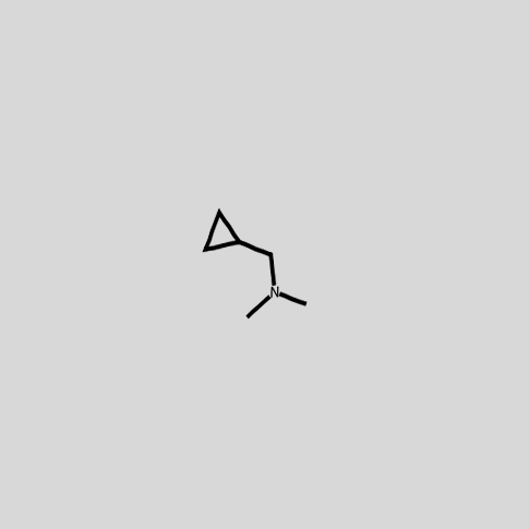 CN(C)CC1[CH]C1